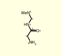 CNCNC(=O)CN